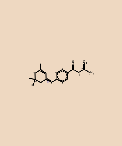 CC1=C/C(=C\c2ccc(C(=O)NC(=N)N)cc2)CC(C)(C)C1